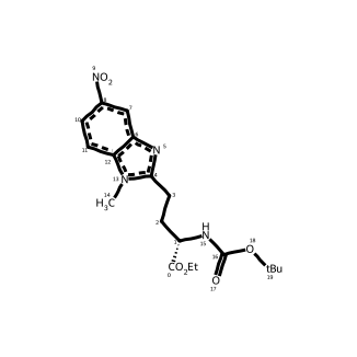 CCOC(=O)[C@H](CCc1nc2cc([N+](=O)[O-])ccc2n1C)NC(=O)OC(C)(C)C